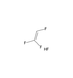 F.FC=C(F)F